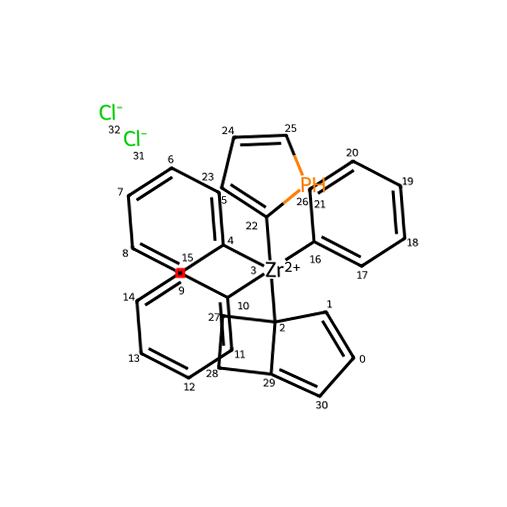 C1=C[C]2([Zr+2]([c]3ccccc3)([c]3ccccc3)([c]3ccccc3)[c]3ccc[pH]3)CCC2=C1.[Cl-].[Cl-]